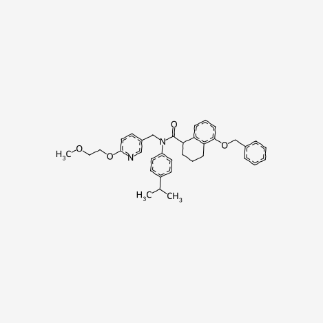 COCCOc1ccc(CN(C(=O)C2CCCc3c(OCc4ccccc4)cccc32)c2ccc(C(C)C)cc2)cn1